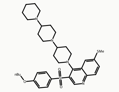 CCCCOc1ccc(S(=O)(=O)c2cnc3ccc(SC)cc3c2N2CCC(N3CCC(N4CCCCC4)CC3)CC2)cc1